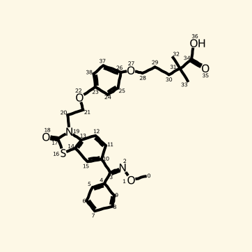 CON=C(c1ccccc1)c1ccc2c(c1)sc(=O)n2CCOc1ccc(OCCCC(C)(C)C(=O)O)cc1